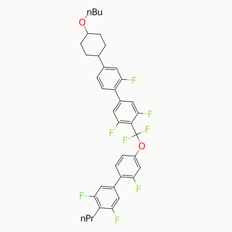 CCCCOC1CCC(c2ccc(-c3cc(F)c(C(F)(F)Oc4ccc(-c5cc(F)c(CCC)c(F)c5)c(F)c4)c(F)c3)c(F)c2)CC1